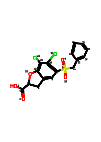 O=C(O)C1Cc2cc(S(=O)(=O)Cc3ccccc3)c(Cl)c(Cl)c2O1